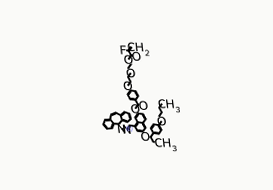 C=C(F)C(=O)OCCOCCOc1ccc(C(=O)Oc2ccc3cc(OC(CC)c4ccc(OCCCC)cc4)cc(/C=N/N=c4c5ccccc5ccc5ccccc45)c3c2)cc1